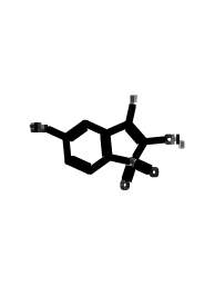 CC1=C(F)c2cc(C(C)(C)C)ccc2S1(=O)=O